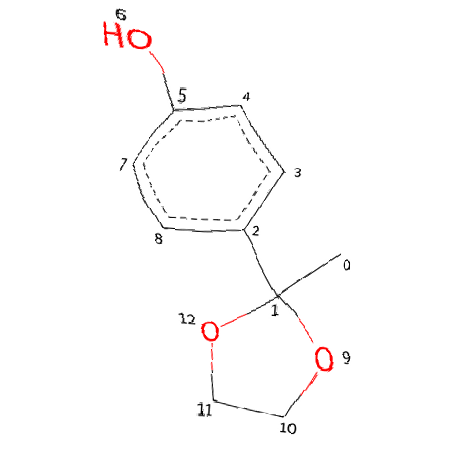 CC1(c2ccc(O)cc2)OCCO1